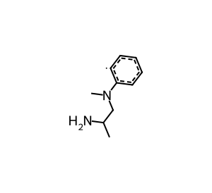 CC(N)CN(C)c1[c]cccc1